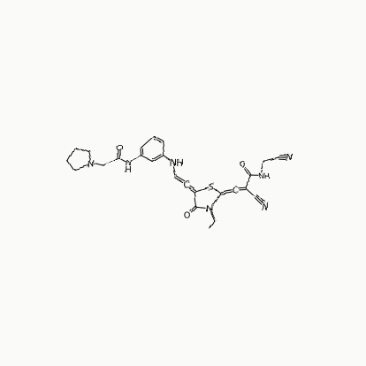 CCn1c(=C=C(C#N)C(=O)NCC#N)sc(=C=CNc2cccc(NC(=O)CN3CCCC3)c2)c1=O